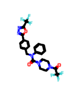 O=C(N1CCN(C(=O)C(F)(F)F)CC1)N(Cc1ccc(-c2nnc(C(F)(F)F)o2)cc1)c1ccccc1